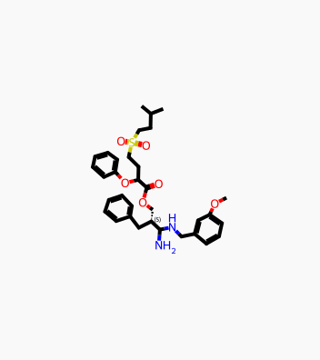 COc1cccc(CNC(N)[C@@H](COC(=O)C(CCS(=O)(=O)CCC(C)C)Oc2ccccc2)Cc2ccccc2)c1